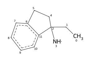 CCC1([NH])CCc2ccccc21